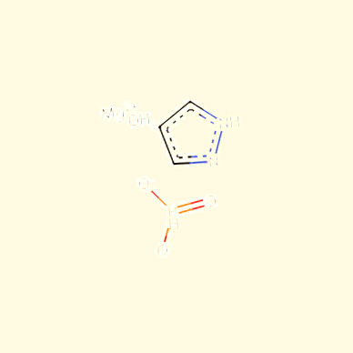 O.O=[PH]([O-])[O-].[Mg+2].c1cn[nH]c1